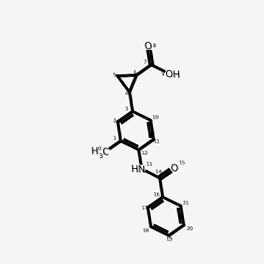 Cc1cc(C2CC2C(=O)O)ccc1NC(=O)c1ccccc1